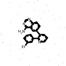 CCc1cccc(-c2ncccc2-c2ccc3ncnc(N)c3c2)c1